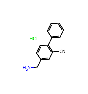 Cl.N#Cc1cc(CN)ccc1-c1ccccc1